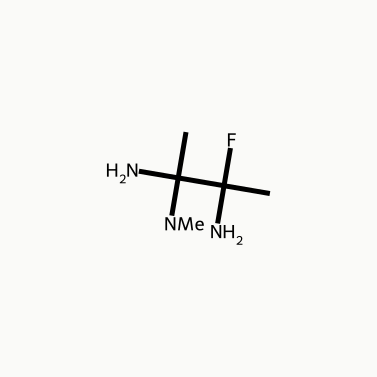 CNC(C)(N)C(C)(N)F